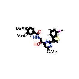 COc1cc(C(O)CNC(=O)c2ccc(OC)c(OC)c2)nc(-c2csc3c(I)cccc23)n1